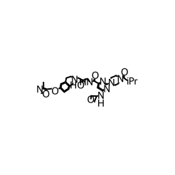 Cc1ncoc1COc1ccc2c(c1)CCN(C[C@@H](O)CNC(=O)c1cc(NC3COC3)nc(N3CCN(C(=O)C(C)C)CC3)n1)C2